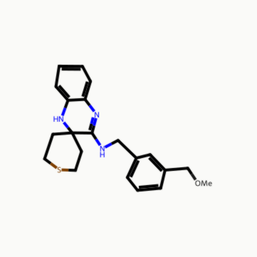 COCc1cccc(CNC2=Nc3ccccc3NC23CCSCC3)c1